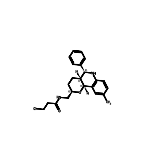 O=C(CCCl)NC[C@H]1CC[C@@H]2[C@H](O1)c1cc(C(F)(F)F)ccc1N[C@H]2c1ccccc1